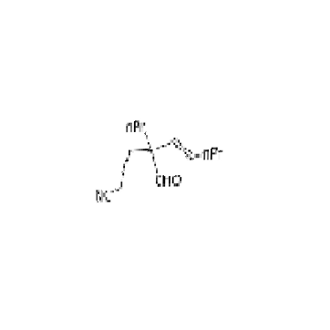 CCCC=CC(C=O)(CCC)CCC#N